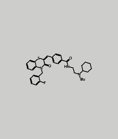 CCC(C)N(CCNC(=O)c1ccc(/C=C2/Sc3ccccc3N(Cc3ccccc3F)C2=O)cc1)C1CCCCC1